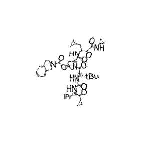 CC(C)[C@H](NC(=O)N[C@H](C(=O)N1C[C@H](OC(=O)N2CCc3ccccc3C2)C[C@H]1C(=O)NC(CC1CC1)C(=O)C(=O)NC1CC1)C(C)(C)C)C(=O)C1CC1